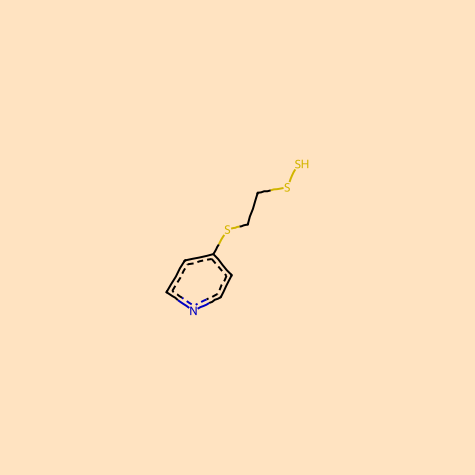 SSCCSc1ccncc1